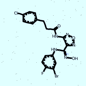 O=C(CCc1ccc(Cl)cc1)Nc1nonc1/C(=N\O)Nc1ccc(F)c(Br)c1